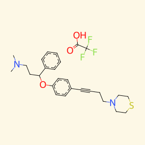 CN(C)CCC(Oc1ccc(C#CCCN2CCSCC2)cc1)c1ccccc1.O=C(O)C(F)(F)F